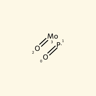 O=[P].[O]=[Mo]